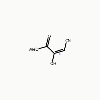 COC(=O)/C(O)=C\C#N